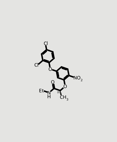 CCNC(=O)[C@H](C)Oc1cc(Oc2ccc(Cl)cc2Cl)ccc1[N+](=O)[O-]